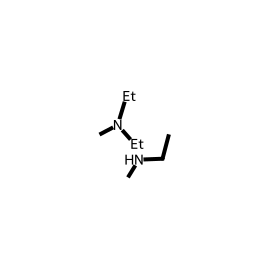 CCN(C)CC.CCNC